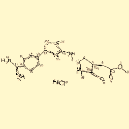 COC(=O)C[C@@H]1C[C@@H](CNc2nc(-c3ccc(C(=N)N)cc3)cs2)NC1=O.Cl